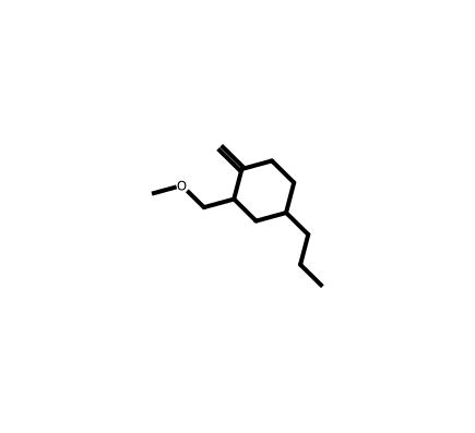 C=C1CCC(CCC)CC1COC